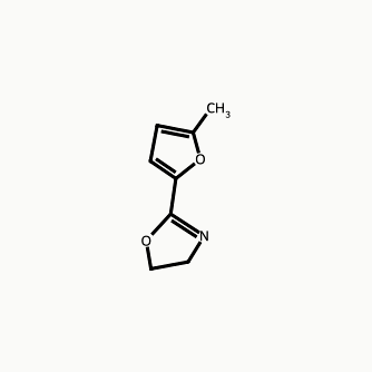 Cc1ccc(C2=NCCO2)o1